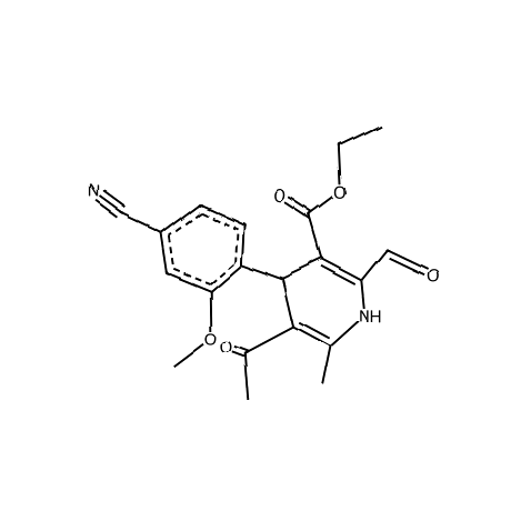 CCOC(=O)C1=C(C=O)NC(C)=C(C(C)=O)C1c1ccc(C#N)cc1OC